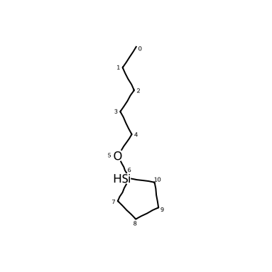 CCCCCO[SiH]1CCCC1